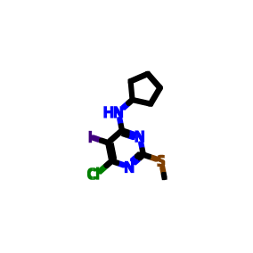 CSc1nc(Cl)c(I)c(NC2CCCC2)n1